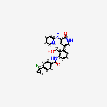 O=C(Nc1cccc(-c2c[nH]c(=O)c(Nc3ccccn3)c2)c1CO)c1ccc(C2(F)CC2)cc1